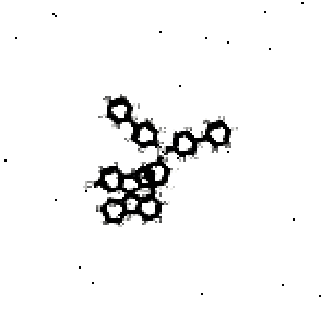 Fc1ccc2c(c1)C1(C3=C2C=CC3)c2ccccc2-c2cccc(-c3ccc(N(c4ccc(-c5ccccc5)cc4)c4ccc(-c5ccccc5)cc4)cc3)c21